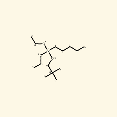 CCCCC[Si](OCC)(OCC)OCC(C)(C)C